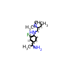 CCC(CNc1ccc(C(C)N)cc1F)N(C)C